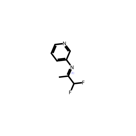 C/C(=N\c1cccnc1)C(F)F